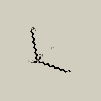 CCCCCCCCCCCC[N+](CC)(CC)CCCCCCCCCCCC.[F-]